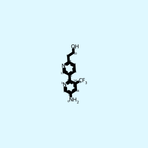 Nc1cnc(-c2ccc(CCO)nc2)c(C(F)(F)F)c1